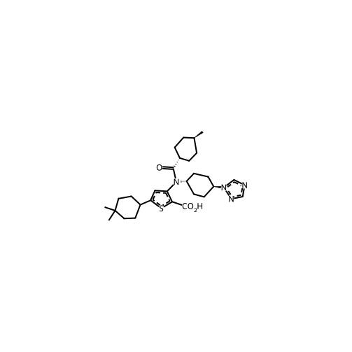 CC1(C)CCC(c2cc(N(C(=O)[C@H]3CC[C@H](C)CC3)[C@H]3CC[C@H](n4cncn4)CC3)c(C(=O)O)s2)CC1